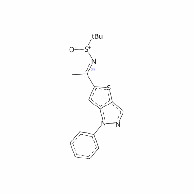 C/C(=N\[S+]([O-])C(C)(C)C)c1cc2c(cnn2-c2ccccc2)s1